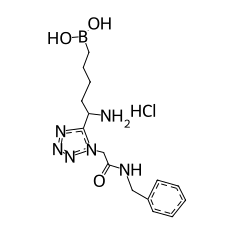 Cl.NC(CCCCB(O)O)c1nnnn1CC(=O)NCc1ccccc1